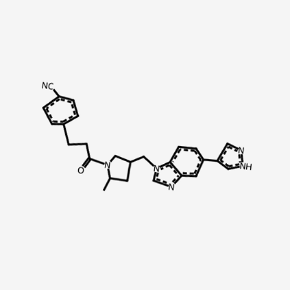 CC1CC(Cn2cnc3cc(-c4cn[nH]c4)ccc32)CN1C(=O)CCc1ccc(C#N)cc1